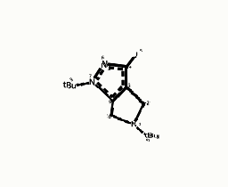 CC(C)(C)N1Cc2c(I)nn(C(C)(C)C)c2C1